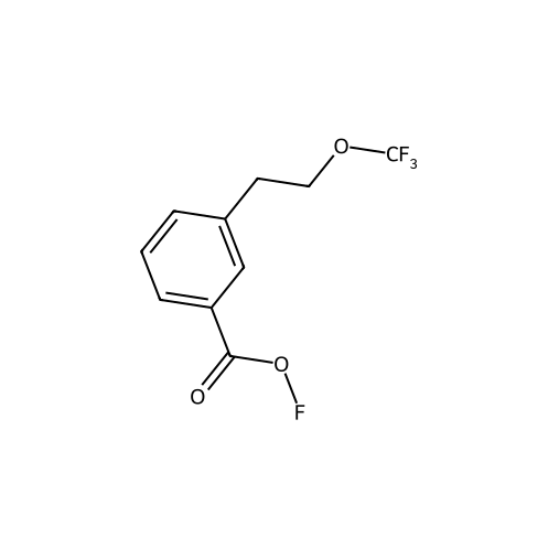 O=C(OF)c1cccc(CCOC(F)(F)F)c1